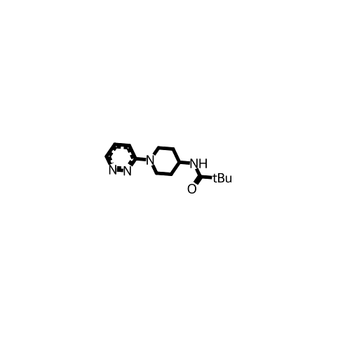 CC(C)(C)C(=O)NC1CCN(c2cccnn2)CC1